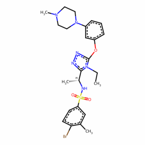 CCn1c(Oc2cccc(N3CCN(C)CC3)c2)nnc1[C@@H](C)NS(=O)(=O)c1ccc(Br)c(C)c1